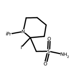 CC(C)N1CCCCC1(I)CS(N)(=O)=O